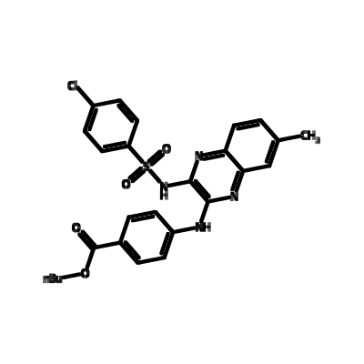 CCCCOC(=O)c1ccc(Nc2nc3cc(C)ccc3nc2NS(=O)(=O)c2ccc(Cl)cc2)cc1